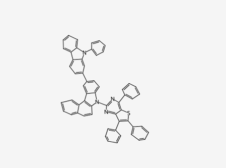 c1ccc(-c2sc3c(-c4ccccc4)nc(-n4c5ccc(-c6ccc7c8ccccc8n(-c8ccccc8)c7c6)cc5c5c6ccccc6ccc54)nc3c2-c2ccccc2)cc1